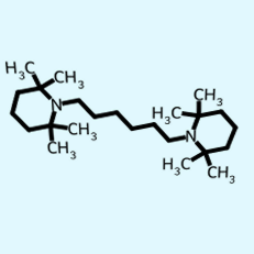 CC1(C)CCCC(C)(C)N1CCCCCCN1C(C)(C)CCCC1(C)C